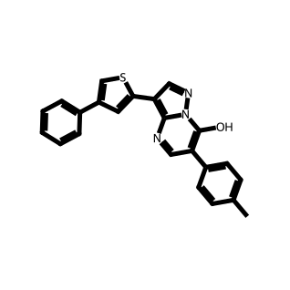 Cc1ccc(-c2cnc3c(-c4cc(-c5ccccc5)cs4)cnn3c2O)cc1